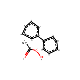 CCCC(=O)OO.c1ccc(-c2ccccc2)cc1